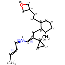 C/C=C/C=N\C=C(/CC1CCCCC1CCC1COC1)C1(C)CC1